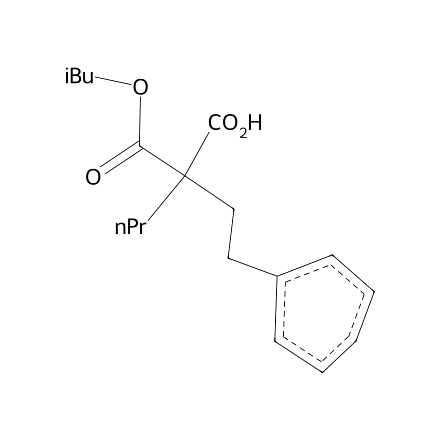 CCCC(CCc1ccccc1)(C(=O)O)C(=O)OC(C)CC